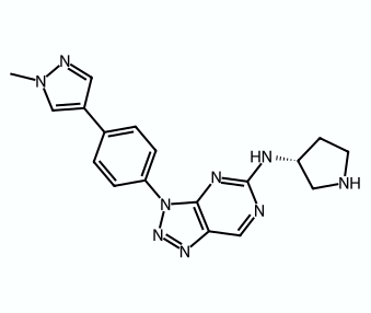 Cn1cc(-c2ccc(-n3nnc4cnc(N[C@@H]5CCNC5)nc43)cc2)cn1